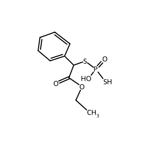 CCOC(=O)C(SP(=O)(O)S)c1ccccc1